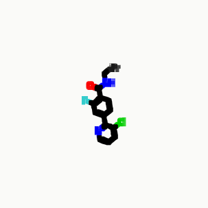 CC(C)CNC(=O)c1ccc(-c2ncccc2Cl)cc1F